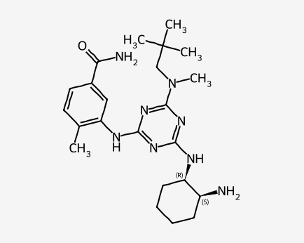 Cc1ccc(C(N)=O)cc1Nc1nc(N[C@@H]2CCCC[C@@H]2N)nc(N(C)CC(C)(C)C)n1